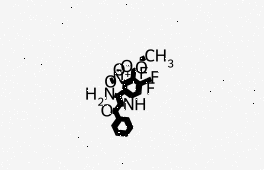 CCOC(=O)c1c(C(F)(F)F)cc2[nH]c(C(=O)c3ccccc3)c(N)c2c1[N+](=O)[O-]